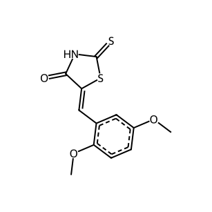 COc1ccc(OC)c(/C=C2\SC(=S)NC2=O)c1